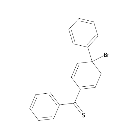 S=C(C1=CCC(Br)(c2ccccc2)C=C1)c1ccccc1